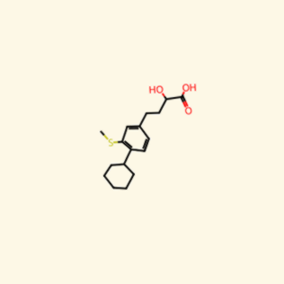 CSc1cc(CCC(O)C(=O)O)ccc1C1CCCCC1